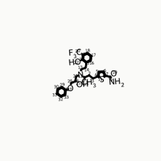 CC(CCc1ccc(C(N)=O)s1)N(CCc1cccc(C(F)(F)F)c1O)CC(O)COc1ccccc1